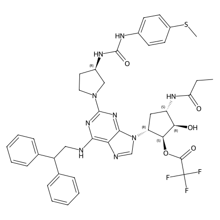 CCC(=O)N[C@H]1C[C@@H](n2cnc3c(NCC(c4ccccc4)c4ccccc4)nc(N4CC[C@@H](NC(=O)Nc5ccc(SC)cc5)C4)nc32)[C@H](OC(=O)C(F)(F)F)[C@@H]1O